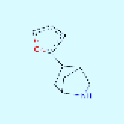 c1coc(C2CC3CC2CN3)c1